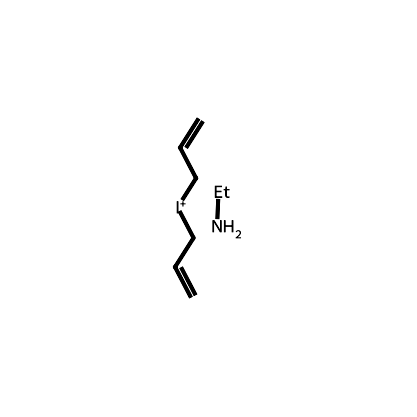 C=CC[I+]CC=C.CCN